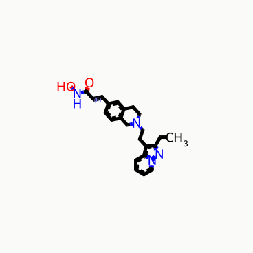 CCc1nn2ccccc2c1CCN1CCc2cc(/C=C/C(=O)NO)ccc2C1